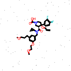 C=CCO[C@]1(c2ccc(F)c(F)c2)CCN(C(=O)O)C[C@@H]1C(=O)N(Cc1cc(CCCOC)cc(OCCOC)c1)C1CC1